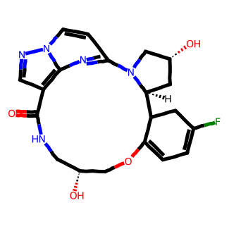 O=C1NC[C@@H](O)COC2=CC=C(F)CC2[C@@H]2C[C@@H](O)CN2c2ccn3ncc1c3n2